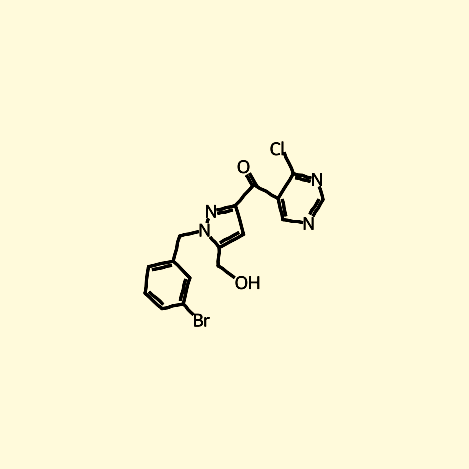 O=C(c1cc(CO)n(Cc2cccc(Br)c2)n1)c1cncnc1Cl